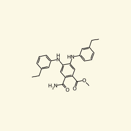 CCc1cccc(Nc2cc(C(N)=O)c(C(=O)OC)cc2Nc2cccc(CC)c2)c1